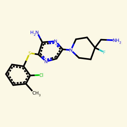 Cc1cccc(Sc2ncc(N3CCC(F)(CN)CC3)nc2N)c1Cl